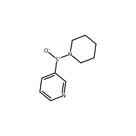 [O-][S+](c1cccnc1)N1CCCCC1